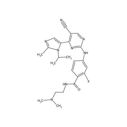 Cc1ncc(-c2nc(Nc3ccc(C(=O)NCCN(C)C)c(F)c3)ncc2C#N)n1C(C)C